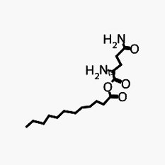 CCCCCCCCCCCC(=O)OC(=O)[C@@H](N)CCC(N)=O